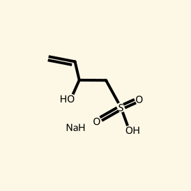 C=CC(O)CS(=O)(=O)O.[NaH]